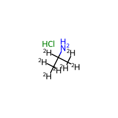 Cl.[2H]C([2H])([2H])C([2H])(N)C([2H])([2H])[2H]